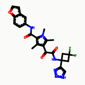 Cc1c(C(=O)C(=O)NC2(c3c[nH]nn3)CC(F)(F)C2)c(C)n(C)c1C(=O)Nc1ccc2occc2c1